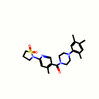 Cc1cc(C)c(N2CCN(C(=O)c3cnc(N4CCCS4(=O)=O)cc3C)CC2)cc1C